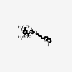 COc1cc(F)c(C(C)C)cc1[C@H](C(=O)O)N1CC[C@@H](OCCCCCc2ccc3c(n2)NCCC3)C1